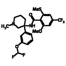 COc1cc(C(F)(F)F)cc(SC)c1C(=O)NC1(c2cccc(OC(F)F)c2)CCCN(C)C1